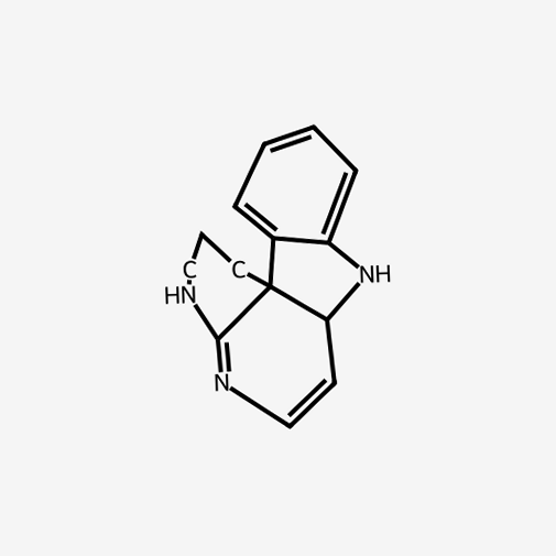 C1=CC2Nc3ccccc3C23CCCNC3=N1